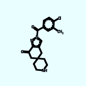 Cc1cc(C(=O)n2cc3c(n2)C(=O)CC2(CCNCC2)C3)ccc1Cl